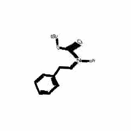 CCCN(CCc1ccccc1)C(=O)OC(C)(C)C